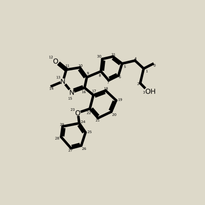 CC(CO)Cc1ccc(-c2cc(=O)n(C)nc2-c2ccccc2Oc2ccccc2)cc1